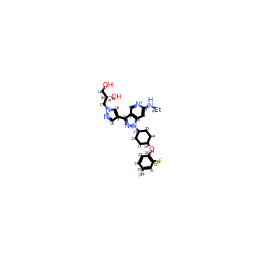 CCNc1cc2c(cn1)c(-c1cnn(C[C@@H](O)CO)c1)nn2C1CCC(Oc2ccc(F)cc2F)CC1